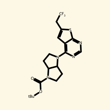 CC(C)(C)OC(=O)N1CCC2C1CCN2c1ncnc2sc(CC(F)(F)F)cc12